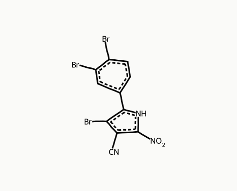 N#Cc1c([N+](=O)[O-])[nH]c(-c2ccc(Br)c(Br)c2)c1Br